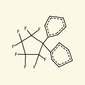 FC1(F)C(F)(F)C(F)(F)C(c2ccccc2)(c2ccccc2)C1(F)F